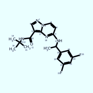 CC(Nc1ccn2ncc(C(=O)NC(C)(C)C)c2n1)c1cc(F)cc(F)c1